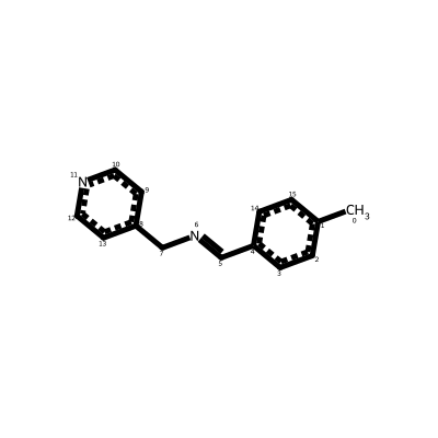 Cc1ccc(C=NCc2ccncc2)cc1